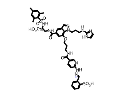 Cc1cc(C)c(S(=O)(=O)N[C@@H](CNC(=O)c2cc(OCCCNC(=O)c3ccc(N/N=C/c4ccccc4S(=O)(=O)O)nc3)c3c(cnn3CCCNc3ncc[nH]3)c2)C(=O)O)c(C)c1